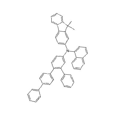 CC1(C)c2ccccc2-c2ccc(N(c3ccc(-c4ccc(-c5ccccc5)cc4)c(-c4ccccc4)c3)c3cccc4ccccc34)cc21